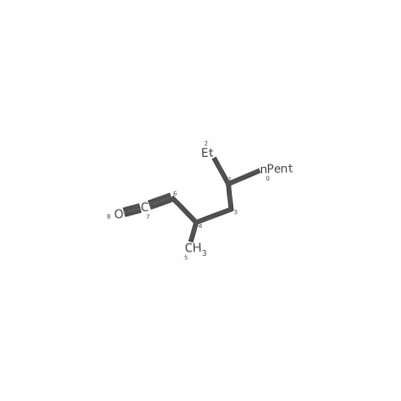 CCCCCC(CC)CC(C)C=C=O